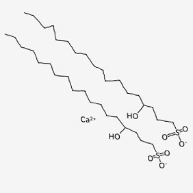 CCCCCCCCCCCCCCC(O)CCCS(=O)(=O)[O-].CCCCCCCCCCCCCCC(O)CCCS(=O)(=O)[O-].[Ca+2]